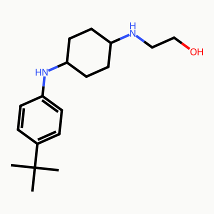 CC(C)(C)c1ccc(NC2CCC(NCCO)CC2)cc1